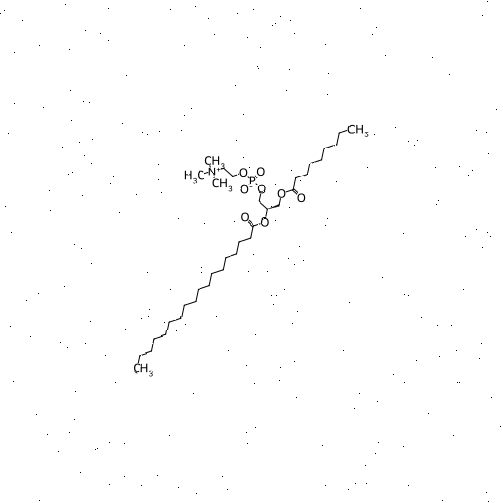 CCCCCCCCCCCCCCCCCC(=O)O[C@H](COC(=O)CCCCCCCC)COP(=O)([O-])OCC[N+](C)(C)C